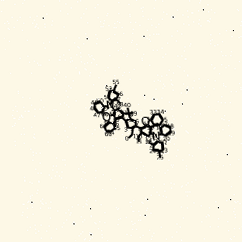 CCc1cc2c(cc1-c1c(CC)cc(N(c3ccccc3)c3ccc(C)cc3C)c3c1oc1ccccc13)C(C)(C)c1cc(N(c3ccccc3)c3ccc(C)cc3C)c3oc4ccccc4c3c1-2